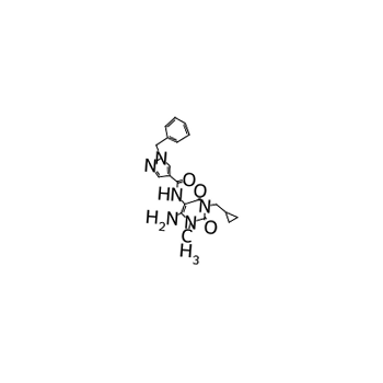 Cn1c(N)c(NC(=O)c2cnn(Cc3ccccc3)c2)c(=O)n(CC2CC2)c1=O